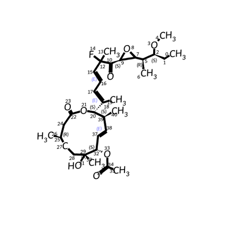 CC[C@H](OC)[C@@H](C)C1O[C@@H]1C(=O)C(C)(F)/C=C/C=C(\C)[C@H]1OC(=O)C[C@H](C)CC[C@@](C)(O)[C@@H](OC(C)=O)/C=C/[C@@H]1C